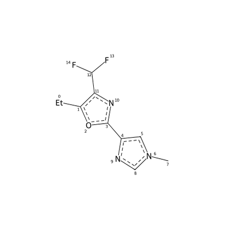 CCc1oc(-c2cn(C)cn2)nc1C(F)F